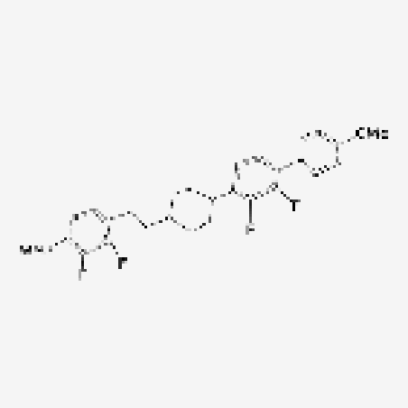 COc1ccc(-c2ccc(C3CCC(CCc4ccc(OC)c(F)c4F)CC3)c(F)c2F)cc1